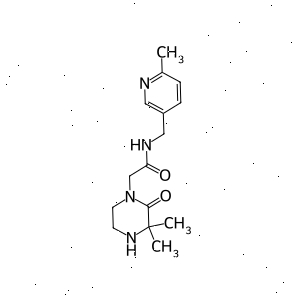 Cc1ccc(CNC(=O)CN2CCNC(C)(C)C2=O)cn1